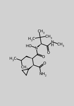 CNC(=O)[C@@H](N(O)C(=O)[C@H](CC(C)C)[C@@H](C(N)=O)C1CC1)C(C)(C)C